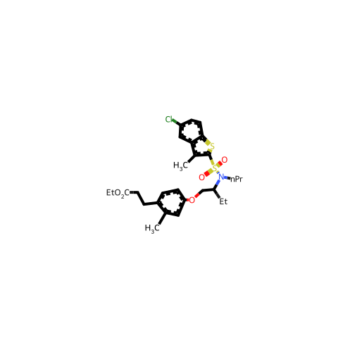 CCCN(C(CC)COc1ccc(CCC(=O)OCC)c(C)c1)S(=O)(=O)c1sc2ccc(Cl)cc2c1C